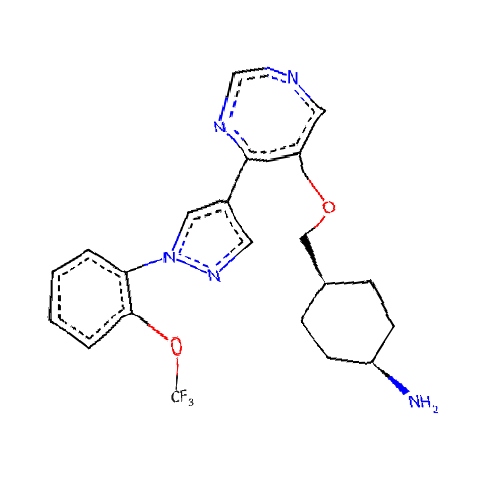 N[C@H]1CC[C@@H](COc2cncnc2-c2cnn(-c3ccccc3OC(F)(F)F)c2)CC1